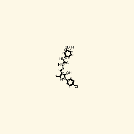 Cc1nn(-c2ccc(Cl)cc2)c(O)c1C=NNC(=S)Nc1cccc(C(=O)O)c1